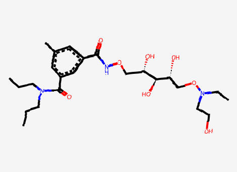 CCCN(CCC)C(=O)c1cc(C)cc(C(=O)NOC[C@H](O)[C@H](O)[C@H](O)CON(CC)CCO)c1